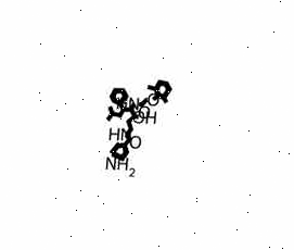 Cc1cccc(C)c1OCC(=O)NC(C(O)CCNC(=O)c1ccc(N)cc1)C(CC(C)C)c1ccccc1